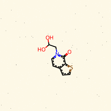 O=c1c2sccc2ccn1CC(O)O